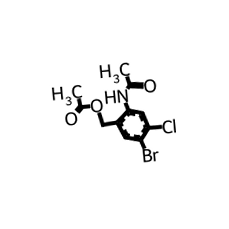 CC(=O)Nc1cc(Cl)c(Br)cc1COC(C)=O